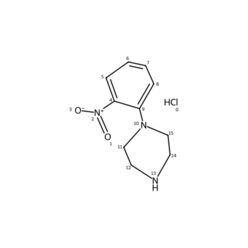 Cl.O=[N+]([O-])c1ccccc1N1CCNCC1